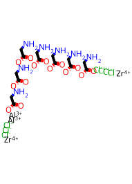 NCC(=O)[O-].NCC(=O)[O-].NCC(=O)[O-].NCC(=O)[O-].NCC(=O)[O-].NCC(=O)[O-].NCC(=O)[O-].[Al+3].[Al+3].[Cl-].[Cl-].[Cl-].[Cl-].[Cl-].[Cl-].[Cl-].[Zr+4].[Zr+4]